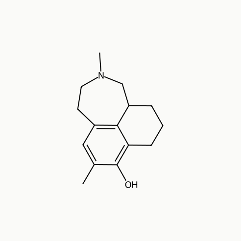 Cc1cc2c3c(c1O)CCCC3CN(C)CC2